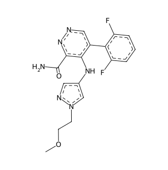 COCCn1cc(Nc2c(-c3c(F)cccc3F)cnnc2C(N)=O)cn1